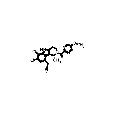 COc1cnc(C(=O)N2CCc3[nH]c4c(Cl)c(Cl)cc(CC#N)c4c3[C@@H]2C)nc1